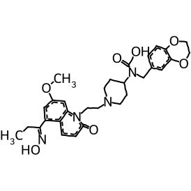 CCC(=NO)c1cc(OC)cc2c1ccc(=O)n2CCN1CCC(N(Cc2ccc3c(c2)OCCO3)C(=O)O)CC1